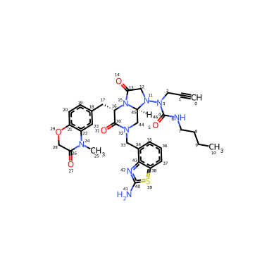 C#CCN(C(=O)NCCCC)N1CC(=O)N2[C@@H](Cc3ccc4c(c3)N(C)C(=O)CO4)C(=O)N(Cc3cccc4sc(N)nc34)C[C@@H]21